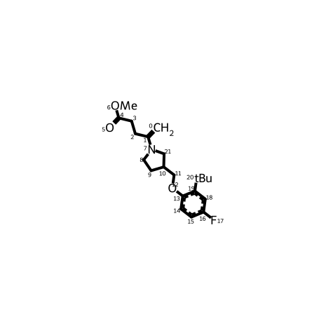 C=C(CCC(=O)OC)N1CCC(COc2ccc(F)cc2C(C)(C)C)C1